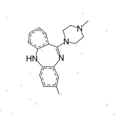 Cc1ccc2c(c1)N=C(N1CCN(C)CC1)c1ccccc1N2